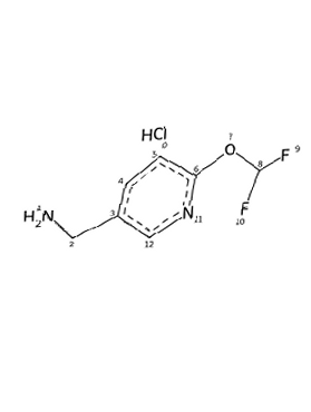 Cl.NCc1ccc(OC(F)F)nc1